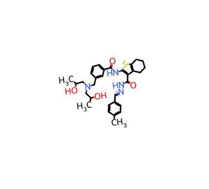 Cc1ccc(/C=N/NC(=O)c2c(NC(=O)c3cccc(CN(CC(C)O)CC(C)O)c3)sc3c2CCCC3)cc1